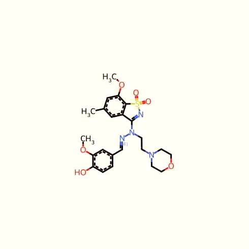 COc1cc(/C=N/N(CCN2CCOCC2)C2=NS(=O)(=O)c3c(OC)cc(C)cc32)ccc1O